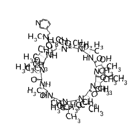 C/C=C/C[C@@H](C)[C@@H](O)[C@H]1C(=O)N[C@@H](CC)C(=O)N(C)[C@H](C)C(=O)N(C)[C@@H]([C@H](C)CN(C)Cc2cccnc2)C(=O)N[C@@H](C(C)C)C(=O)N(C)[C@@H](CC(C)C)C(=O)N[C@@H](C)C(=O)N[C@H](C)C(=O)N(C)[C@@H](CC(C)C)C(=O)N(C)[C@@H](CC(C)C)C(=O)N(C)[C@@H](C(C)C)C(=O)N1C